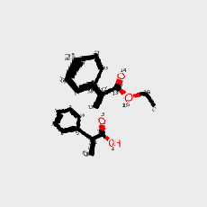 C=C(C(=O)O)c1ccccc1.C=C(C(=O)OCC)c1ccccc1